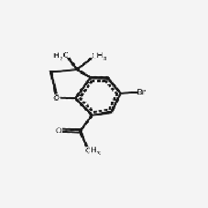 CC(=O)c1cc(Br)cc2c1OCC2(C)C